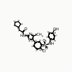 Cc1nc(NC(=O)CC2CCCC2)sc1-c1ccc(Cl)c(S(=O)(=O)Nc2ccc(O)cc2)c1